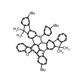 CC(C)(C)c1ccc(N2B3c4cc5c(cc4-n4c6ccc(C(C)(C)C)cc6c6c7oc8ccccc8c7c(c3c64)-c3cc4c(cc32)-c2cc(C(C)(C)C)ccc2C4(C)C)C(C)(C)c2ccccc2-5)cc1